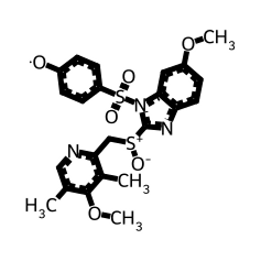 COc1ccc2nc([S+]([O-])Cc3ncc(C)c(OC)c3C)n(S(=O)(=O)c3ccc([O])cc3)c2c1